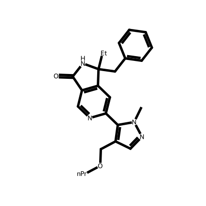 CCCOCc1cnn(C)c1-c1cc2c(cn1)C(=O)NC2(CC)Cc1ccccc1